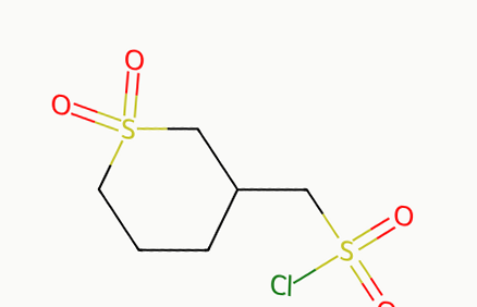 O=S(=O)(Cl)CC1CCCS(=O)(=O)C1